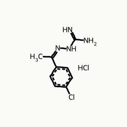 C/C(=N/NC(=N)N)c1ccc(Cl)cc1.Cl